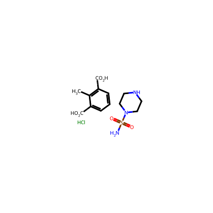 Cc1c(C(=O)O)cccc1C(=O)O.Cl.NS(=O)(=O)N1CCNCC1